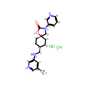 Cl.Cl.O=C1O[C@]2(CC[C@H](CNc3cncc(C(F)(F)F)c3)CC2)CN1c1cccnc1